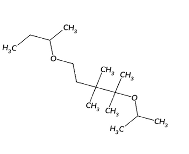 CCC(C)OCCC(C)(C)C(C)(C)OC(C)C